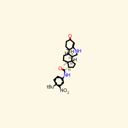 CC(C)(C)c1ccc(NC(=O)[C@H]2CC[C@H]3[C@@H]4CNC5=CC(=O)CC[C@]5(C)[C@H]4CC[C@]23C)cc1[N+](=O)[O-]